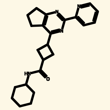 O=C(NC1CCCCC1)C1CC(c2nc(-c3ccccn3)nc3c2CCC3)C1